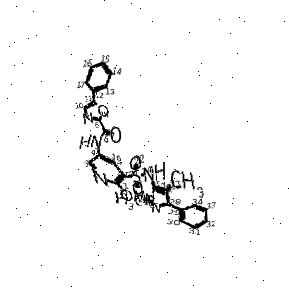 COc1ncc(NC(=O)c2ncc(-c3ccccc3)o2)cc1S(=O)(=O)Nc1c(C)c(-c2ccccc2)nn1C